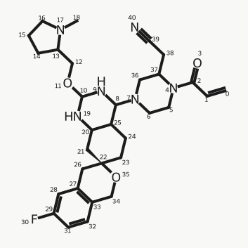 C=CC(=O)N1CCN(C2NC(OCC3CCCN3C)NC3C[C@]4(CCC32)Cc2cc(F)ccc2CO4)CC1CC#N